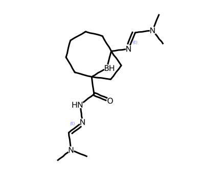 CN(C)/C=N/NC(=O)C12BC(/N=C/N(C)C)(CCCCC1)CC2